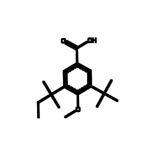 CCC(C)(C)c1cc(C(=O)O)cc(C(C)(C)C)c1OC